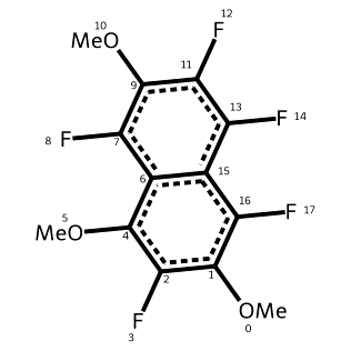 COc1c(F)c(OC)c2c(F)c(OC)c(F)c(F)c2c1F